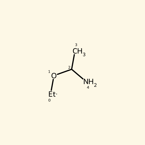 C[CH]OC(C)N